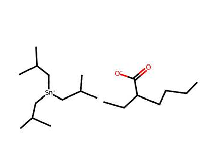 CC(C)[CH2][Sn+]([CH2]C(C)C)[CH2]C(C)C.CCCCC(CC)C(=O)[O-]